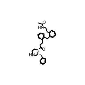 CC(=O)NCCc1ccccc1Cc1ccccc1CCC(=O)N1CCNC[C@H]1Cc1ccccc1